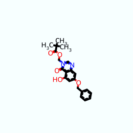 CC(C)(C)C(=O)OCn1cnc2cc(OCc3ccccc3)cc(O)c2c1=O